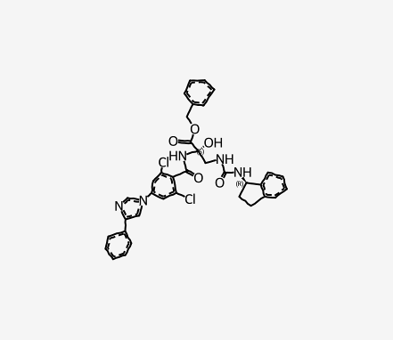 O=C(NC[C@@](O)(NC(=O)c1c(Cl)cc(-n2cnc(-c3ccccc3)c2)cc1Cl)C(=O)OCc1ccccc1)N[C@@H]1CCc2ccccc21